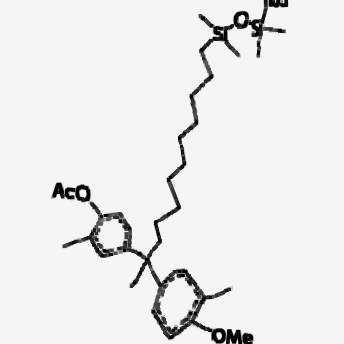 CCCC[Si](C)(C)O[Si](C)(C)CCCCCCCCCCC(C)(c1ccc(OC)c(C)c1)c1ccc(OC(C)=O)c(C)c1